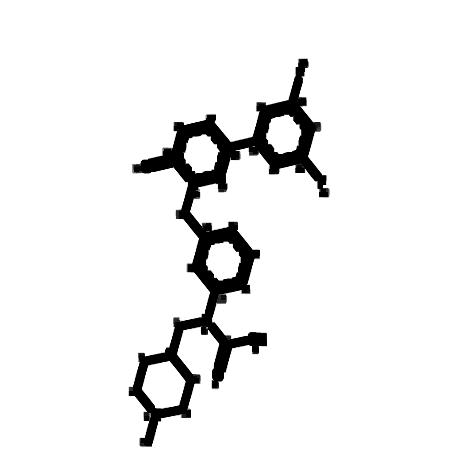 CN1CCC(CN(C(=O)O)c2cccc(Cn3nc(-c4cc(F)cc(F)c4)ccc3=O)c2)CC1